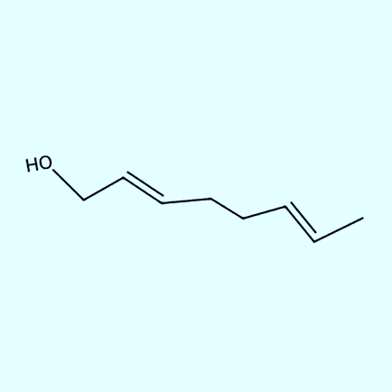 C/C=C/CCC=CCO